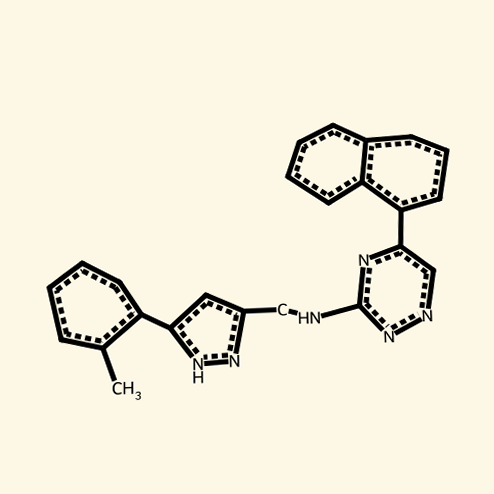 Cc1ccccc1-c1cc(CNc2nncc(-c3cccc4ccccc34)n2)n[nH]1